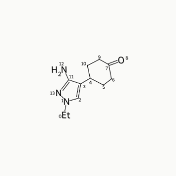 CCn1cc(C2CCC(=O)CC2)c(N)n1